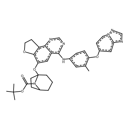 Cc1cc(Nc2ncnc3c4c(c(OC56CCCC(CC5)N6C(=O)OC(C)(C)C)cc23)OCC4)ccc1Oc1ccn2ncnc2c1